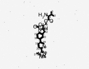 CC(C)[C@H](N)C(=O)OC[C@@H]1OC(=O)N2c3ccc(-c4ccc(-c5nnnn5C)nc4)cc3C[C@@H]12